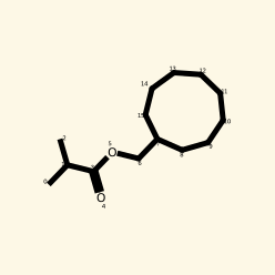 CC(C)C(=O)OCC1CCCCCCCC1